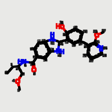 CCC(COC)NC(=O)c1ccc2c(c1)NC(c1cc(-c3cccnc3OC)ccc1O)N2